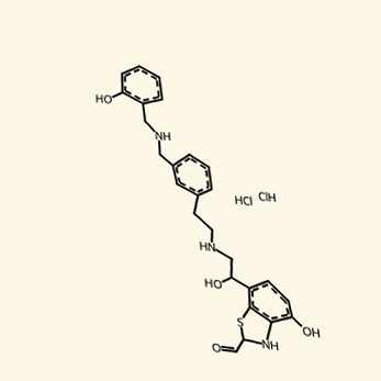 Cl.Cl.O=CC1Nc2c(O)ccc(C(O)CNCCc3cccc(CNCc4ccccc4O)c3)c2S1